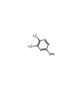 COc1[c]c(C)c(C(F)(F)F)cc1